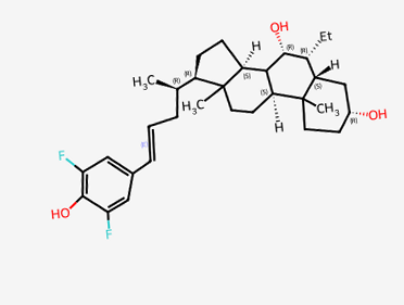 CC[C@H]1[C@@H](O)C2[C@@H]3CC[C@H]([C@H](C)C/C=C/c4cc(F)c(O)c(F)c4)C3(C)CC[C@@H]2C2(C)CC[C@@H](O)C[C@@H]12